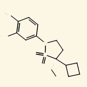 N#Cc1ccc(N2CC[C@@](CO)(C3CCC3)S2(=O)=O)cc1C(F)(F)F